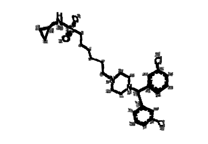 O=S(=O)(CCCCCCN1CCN(C(c2cccc(Cl)c2)c2cccc(Cl)c2)CC1)NC1CC1